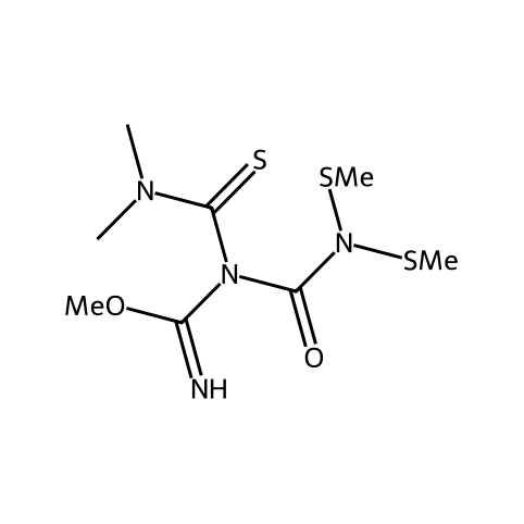 COC(=N)N(C(=O)N(SC)SC)C(=S)N(C)C